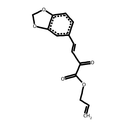 C=CCOC(=O)C(=O)C=Cc1ccc2c(c1)OCO2